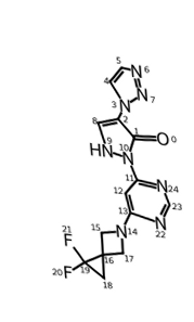 O=c1c(-n2ccnn2)c[nH]n1-c1cc(N2CC3(C2)CC3(F)F)ncn1